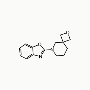 c1ccc2oc(N3CCCC4(COC4)C3)nc2c1